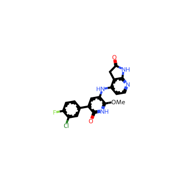 COc1[nH]c(=O)c(-c2ccc(F)c(Cl)c2)cc1Nc1ccnc2c1CC(=O)N2